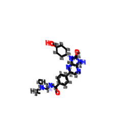 CN(C)/C=N/C(=O)c1ccc(-c2cnc3[nH]c(=O)n([C@H]4CC[C@H](O)CC4)c3n2)cc1